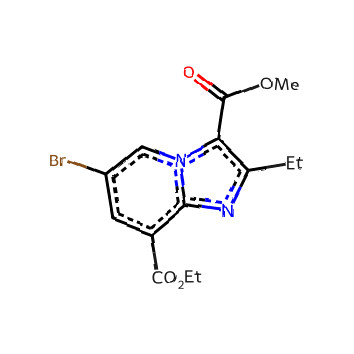 CCOC(=O)c1cc(Br)cn2c(C(=O)OC)c(CC)nc12